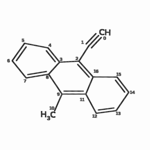 C#Cc1c2ccccc2c(C)c2ccccc12